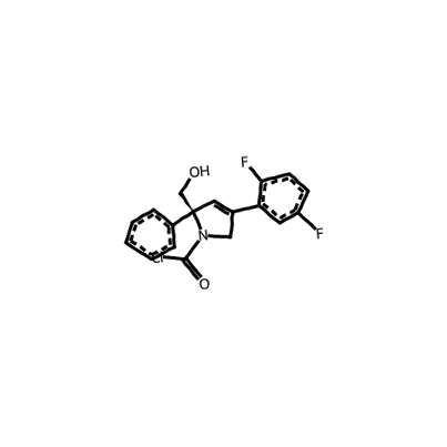 O=C(Cl)N1CC(c2cc(F)ccc2F)=C[C@@]1(CO)c1ccccc1